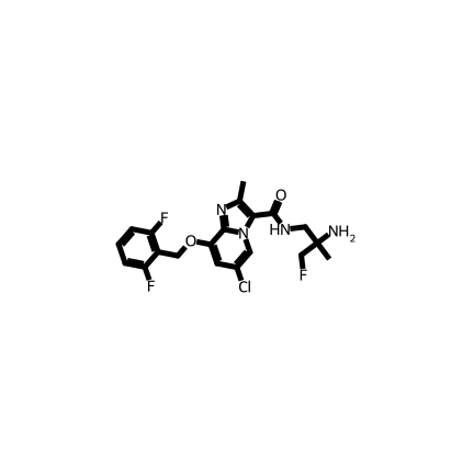 Cc1nc2c(OCc3c(F)cccc3F)cc(Cl)cn2c1C(=O)NCC(C)(N)CF